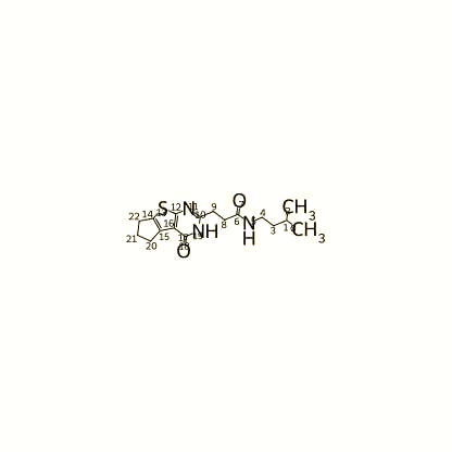 CC(C)CCNC(=O)CCc1nc2sc3c(c2c(=O)[nH]1)CCC3